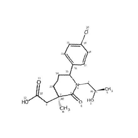 C[C@@H](O)CN1C(=O)[C@@](C)(CC(=O)O)CCC1c1ccc(Cl)cc1